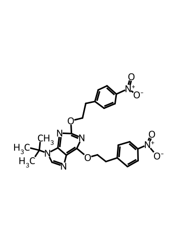 CC(C)(C)n1cnc2c(OCCc3ccc([N+](=O)[O-])cc3)nc(OCCc3ccc([N+](=O)[O-])cc3)nc21